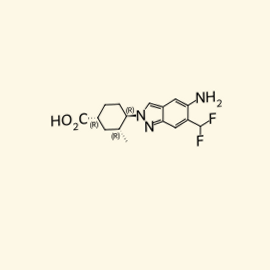 C[C@@H]1C[C@H](C(=O)O)CC[C@H]1n1cc2cc(N)c(C(F)F)cc2n1